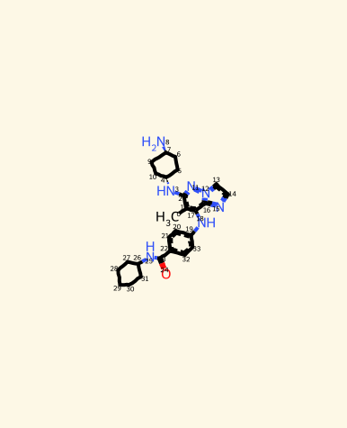 Cc1c(N[C@H]2CC[C@H](N)CC2)nn2ccnc2c1Nc1ccc(C(=O)NC2CCCCC2)cc1